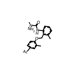 CC(=O)c1ccc(OCc2c(C)cccc2NC(=O)N(C)N)c(C)c1